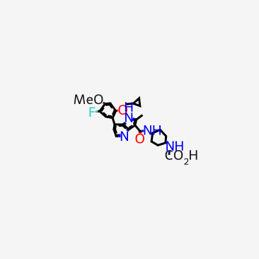 COc1cc(OCC2CC2)c(-c2ccnc3c(C(=O)N[C@H]4CC[C@@H](NC(=O)O)CC4)c(C)[nH]c23)cc1F